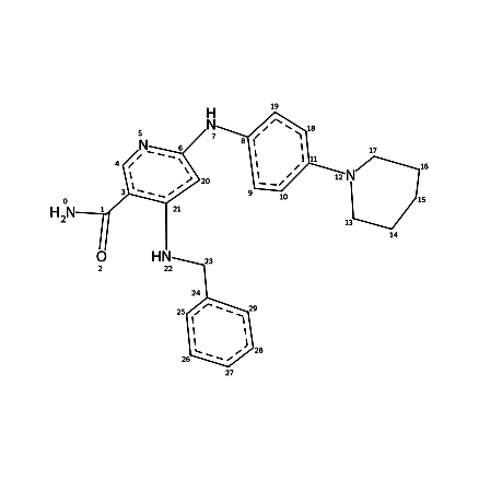 NC(=O)c1cnc(Nc2ccc(N3CCCCC3)cc2)cc1NCc1ccccc1